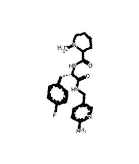 CN1CCCCC1C(=O)N[C@@H](Cc1ccc(F)cc1)C(=O)NCc1ccc(N)nc1